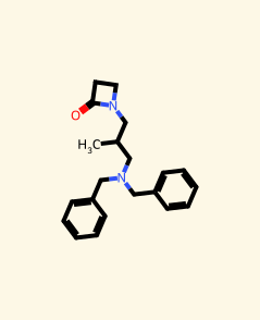 CC(CN(Cc1ccccc1)Cc1ccccc1)CN1CCC1=O